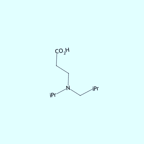 CC(C)CN(CCC(=O)O)C(C)C